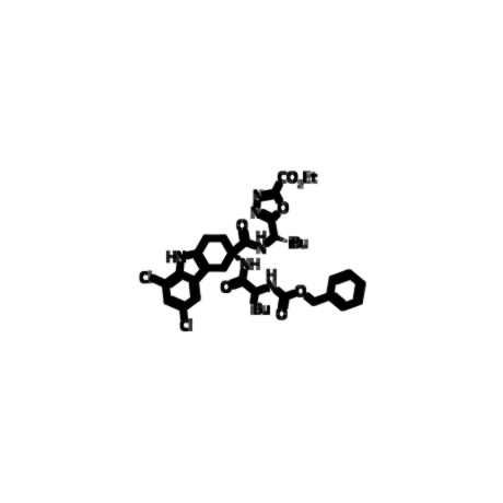 CCOC(=O)c1nnc(C(NC(=O)[C@]2(NC(=O)C(NC(=O)OCc3ccccc3)C(C)CC)CCc3[nH]c4c(Cl)cc(Cl)cc4c3C2)[C@@H](C)CC)o1